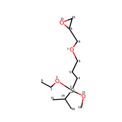 CCO[Si](CCCOCC1CO1)(OC)C(C)C